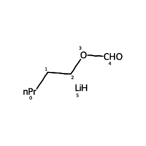 CCCCCOC=O.[LiH]